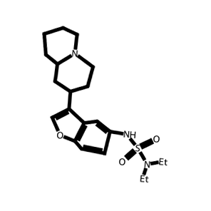 CCN(CC)S(=O)(=O)Nc1ccc2occ(C3CCN4CCCCC4C3)c2c1